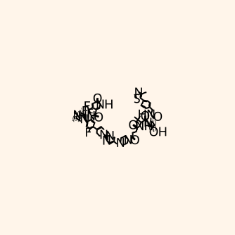 Cc1ncsc1-c1ccc(CNC(=O)[C@@H]2C[C@@H](O)CN2C(=O)C(NC(=O)CCC(=O)N2CCN(Cc3cnc(N4CC=C(c5cc(NC(=O)c6c[nH]c(=O)cc6C(F)(F)F)c(N6C[C@@H](C)N(C)[C@@H](C)C6)cc5F)CC4)nc3)CC2)C(C)(C)C)cc1